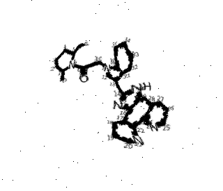 CC1CCCC(C)N1C(=O)Cn1cc(-c2nc3c4cccnc4c4ncccc4c3[nH]2)c2ccccc21